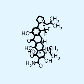 CC(C)CN1CCCC1c1cc(O)c2c(c1C(F)(F)F)C[C@H]1C[C@H]3[C@H](N(C)C)C(O)=C(C(N)=O)C(=O)[C@@]3(O)C(O)=C1C2=O